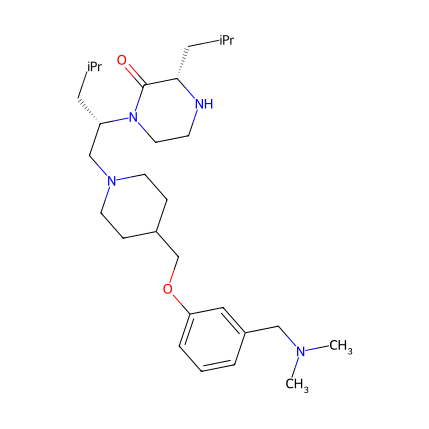 CC(C)C[C@@H](CN1CCC(COc2cccc(CN(C)C)c2)CC1)N1CCN[C@@H](CC(C)C)C1=O